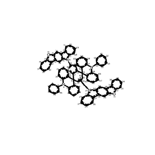 c1ccc(N2c3ccccc3C3(c4ccccc42)c2cc(-n4c5ccccc5c5cc6oc7ccccc7c6cc54)sc2C2(c4ccccc4N(c4ccccc4)c4ccccc42)c2cc(-n4c5ccccc5c5cc6oc7ccccc7c6cc54)sc23)cc1